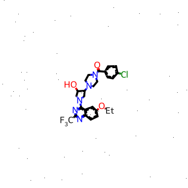 CCOc1ccc2nc(C(F)(F)F)nc(N3CC(O)C(N4CCN(C(=O)c5ccc(Cl)cc5)CC4)C3)c2c1